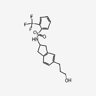 O=S(=O)(NC1Cc2ccc(CCCO)cc2C1)c1ccccc1C(F)(F)F